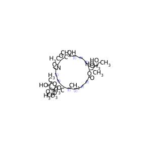 COC1CC(O)/C=C/C=C/C=C\C(C)C(C(C)C(O)CC(C)O)OC(=O)\C=C/C=C/C=C\C(C)=C\C(C)C(O[C@@H]2O[C@H](C)[C@@H](O)[C@H](OC)[C@H]2OC)/C=C\C=C\c2coc(n2)C1C